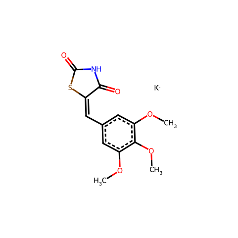 COc1cc(C=C2SC(=O)NC2=O)cc(OC)c1OC.[K]